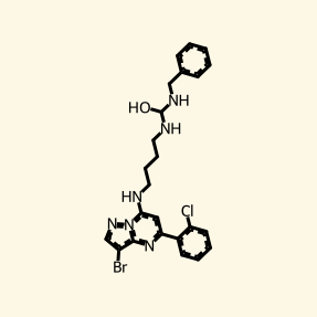 OC(NCCCCNc1cc(-c2ccccc2Cl)nc2c(Br)cnn12)NCc1ccccc1